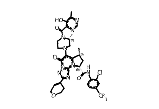 Cc1ncnc(C(=O)N2CCN(c3c4n(c5nc(C6=CCOCC6)nn5c3=O)[C@@H](C(=O)Nc3ccc(C(F)(F)F)cc3Cl)C[C@@H]4C)C[C@H]2C)c1O